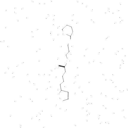 O=C(CCCCC1CCSS1)OCCCOC1CCCCO1